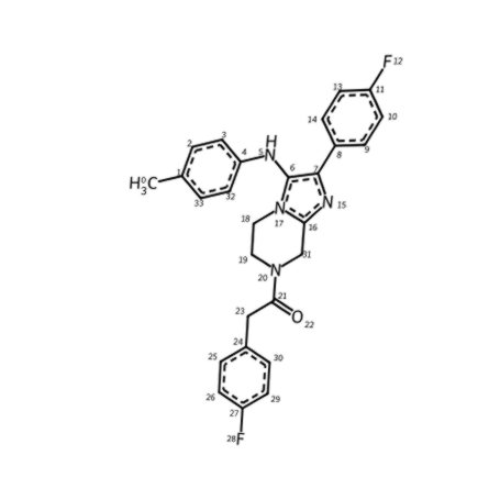 Cc1ccc(Nc2c(-c3ccc(F)cc3)nc3n2CCN(C(=O)Cc2ccc(F)cc2)C3)cc1